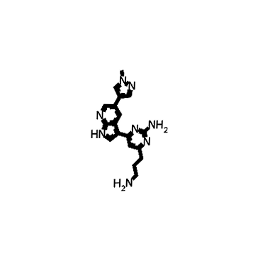 Cn1cc(-c2cnc3[nH]cc(-c4cc(CCCN)nc(N)n4)c3c2)cn1